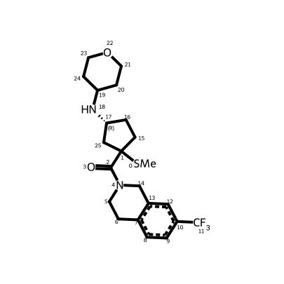 CSC1(C(=O)N2CCc3ccc(C(F)(F)F)cc3C2)CC[C@@H](NC2CCOCC2)C1